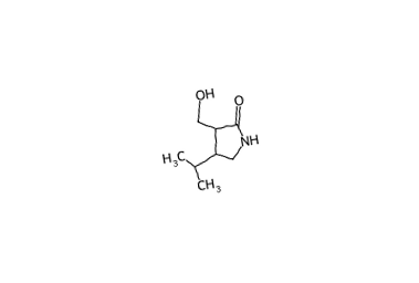 CC(C)C1CNC(=O)C1CO